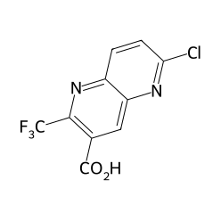 O=C(O)c1cc2nc(Cl)ccc2nc1C(F)(F)F